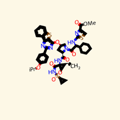 C=C[C@@H]1C[C@]1(NC(=O)[C@@H]1C[C@@H](Oc2nc(-c3ccc(OC(C)C)cc3)nc3c2sc2ccccc23)CN1C(=O)[C@@H](Nc1nc(C(=O)OC)cs1)C1CCCCC1)C(=O)NS(=O)(=O)C1CC1